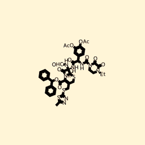 CCN1CCN(C(=O)NC(C(=O)N[C@]2(NC=O)C(=O)N3C(C(=O)OC(c4ccccc4)c4ccccc4)=C(CSc4nnc(C)s4)CS[C@@H]32)c2ccc(OC(C)=O)c(OC(C)=O)c2)C(=O)C1=O